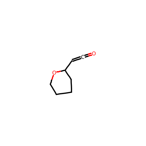 O=C=CC1CCCCO1